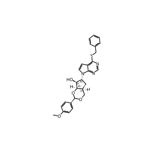 COc1ccc(C2OC[C@@H]3C[C@@H](n4ccc5c(SCc6ccccc6)ncnc54)[C@H](O)[C@@H]3O2)cc1